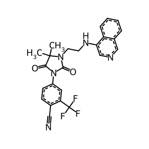 CC1(C)C(=O)N(c2ccc(C#N)c(C(F)(F)F)c2)C(=O)N1CCNc1cncc2ccccc12